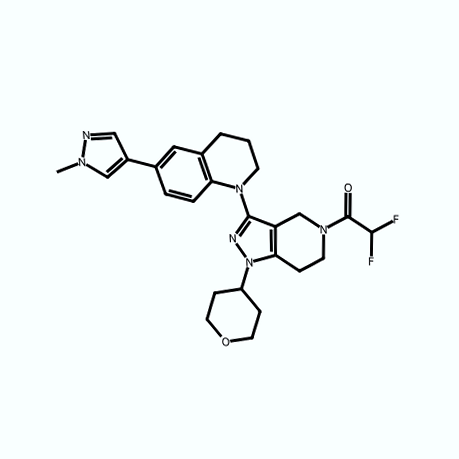 Cn1cc(-c2ccc3c(c2)CCCN3c2nn(C3CCOCC3)c3c2CN(C(=O)C(F)F)CC3)cn1